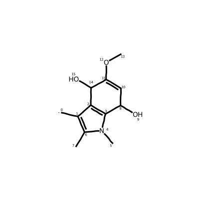 [CH2]c1c2c(n(C)c1C)C(O)C=C(OC)C2O